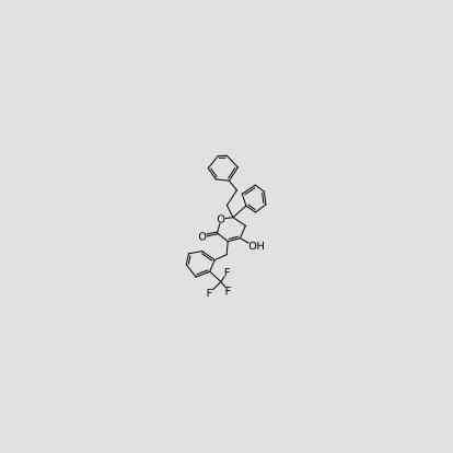 O=C1OC(CCc2ccccc2)(c2ccccc2)CC(O)=C1Cc1ccccc1C(F)(F)F